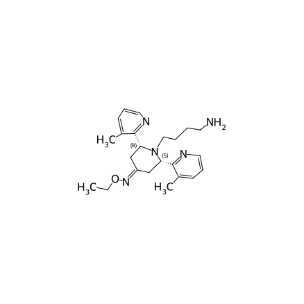 CCON=C1C[C@H](c2ncccc2C)N(CCCCN)[C@H](c2ncccc2C)C1